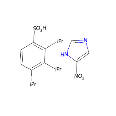 CC(C)c1ccc(S(=O)(=O)O)c(C(C)C)c1C(C)C.O=[N+]([O-])c1cnc[nH]1